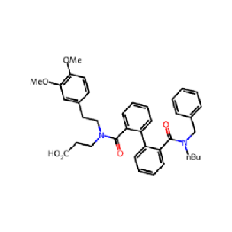 CCCCN(Cc1ccccc1)C(=O)c1ccccc1-c1ccccc1C(=O)N(CCC(=O)O)CCc1ccc(OC)c(OC)c1